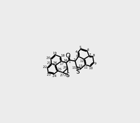 O=C(C1c2cccc3cccc(c23)C2SC21)C1c2cccc3cccc(c23)C2SC21